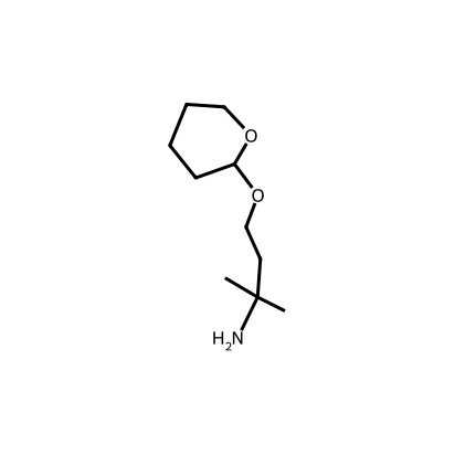 CC(C)(N)CCOC1CCCCO1